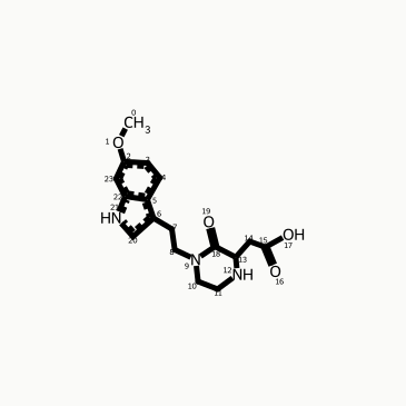 COc1ccc2c(CCN3CCNC(CC(=O)O)C3=O)c[nH]c2c1